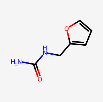 NC(=O)NCc1ccco1